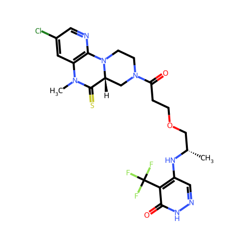 C[C@@H](COCCC(=O)N1CCN2c3ncc(Cl)cc3N(C)C(=S)[C@H]2C1)Nc1cn[nH]c(=O)c1C(F)(F)F